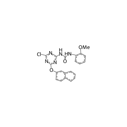 COc1ccccc1NC(=O)Nc1nc(Cl)nc(Oc2ccc3ccccc3c2)n1